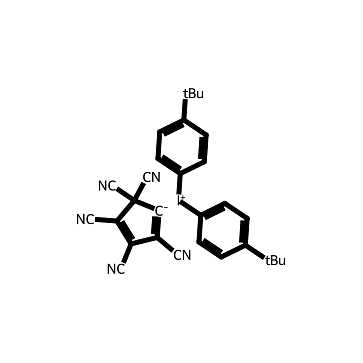 CC(C)(C)c1ccc([I+]c2ccc(C(C)(C)C)cc2)cc1.N#CC1=[C-]C(C#N)(C#N)C(C#N)=C1C#N